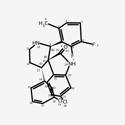 Cc1ccc(F)c(F)c1[C@@H]1NCC[C@@H](c2cccc(Cl)c2)[C@]12C(=O)Nc1cc(Cl)ccc12